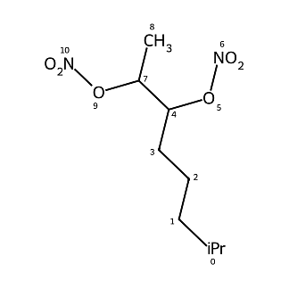 CC(C)CCCC(O[N+](=O)[O-])C(C)O[N+](=O)[O-]